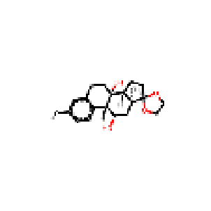 Cc1ccc2c(c1)CC[C@@]1(O)[C@@H]2[C@H](O)C[C@@]2(C)[C@H]1CCC21OCCO1